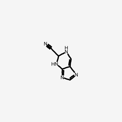 N#CC1NC=C2N=CN=C2N1